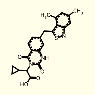 Cc1cc(C)c2c(Cc3ccc4c(=O)n([C@@H](C(=O)O)C5CC5)c(=O)[nH]c4c3)snc2c1